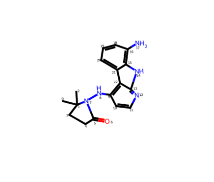 CC1(C)CCC(=O)N1Nc1ccnc2[nH]c3c(N)cccc3c12